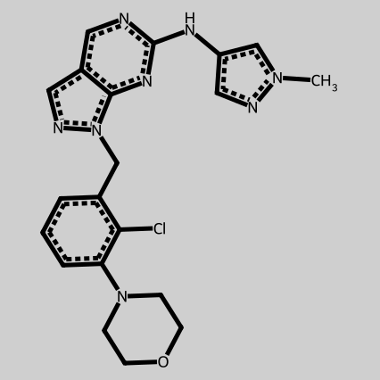 Cn1cc(Nc2ncc3cnn(Cc4cccc(N5CCOCC5)c4Cl)c3n2)cn1